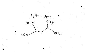 CCCCCCCCC(CC(CCCCCCCC)C(=O)O)C(=O)O.CCCCCN